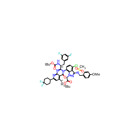 COc1ccc(CN(c2nn(CC(=O)OC(C)(C)C)c3c(-n4c([C@H](Cc5cc(F)cc(F)c5)NC(=O)OC(C)(C)C)nc5nc(C6CCC(F)(F)CC6)cc(C)c5c4=O)ccc(Cl)c23)S(C)(=O)=O)cc1